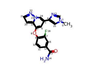 Cn1cnc(-c2cc(Oc3ccc(C(N)=O)cc3F)c3ccnn3c2)c1